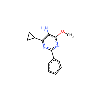 COc1nc(-c2ccccc2)nc(C2CC2)c1N